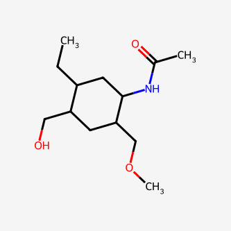 CCC1CC(NC(C)=O)C(COC)CC1CO